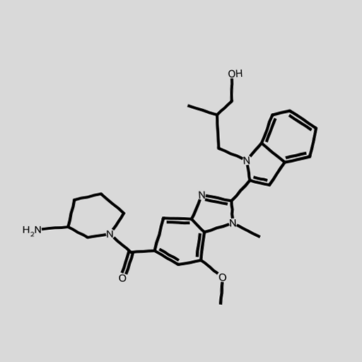 COc1cc(C(=O)N2CCCC(N)C2)cc2nc(-c3cc4ccccc4n3CC(C)CO)n(C)c12